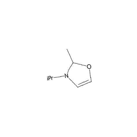 CC(C)N1C=COC1C